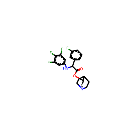 O=C(OC1CN2CCC1CC2)C(Nc1cc(F)c(F)c(F)c1)c1cccc(F)c1